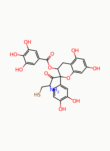 N[C@@H](CS)C(=O)C1(c2ccc(O)c(O)c2)Oc2cc(O)cc(O)c2CC1OC(=O)c1cc(O)c(O)c(O)c1